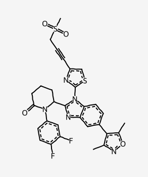 Cc1noc(C)c1-c1ccc2c(c1)nc(C1CCCC(=O)N1c1ccc(F)c(F)c1)n2-c1nc(C#CCS(C)(=O)=O)cs1